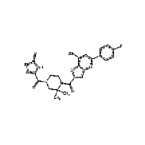 CC(C)(C)c1cc(-c2ccc(F)cc2)nc2cc(C(=O)N3CCN(C(=O)c4n[nH]c(=O)[nH]4)CC3(C)C)oc12